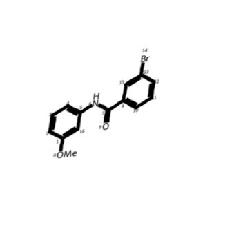 COc1cccc(NC(=O)c2cccc(Br)c2)c1